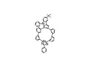 CC(C)(C)c1ccc2c(c1)c1cc3cc(c4cccc(c4)c4cccc(c4)c4nc(-c5ccccc5)nc(n4)c4cccc(c4)c4cccc3c4)c1n2-c1ccccc1